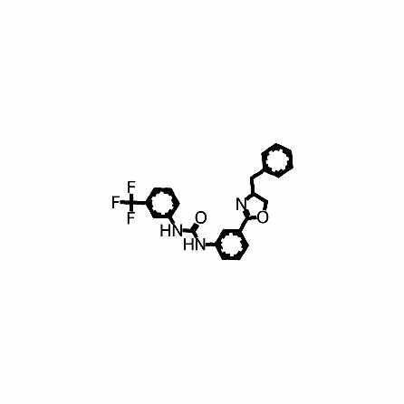 O=C(Nc1cccc(C2=NC(Cc3ccccc3)CO2)c1)Nc1cccc(C(F)(F)F)c1